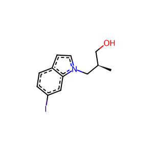 C[C@H](CO)Cn1ccc2ccc(I)cc21